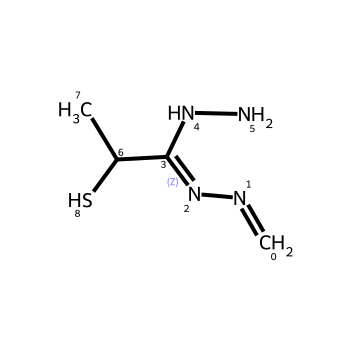 C=N/N=C(\NN)C(C)S